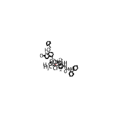 CC(C)(C)[Si](C)(C)O[C@H](CN(CCc1ccc(NC(=O)Nc2ccccc2-c2ccccc2)cc1)C(=O)O)c1ccc(OCc2ccccc2)c2[nH]c(=O)ccc12